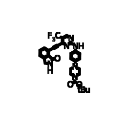 CC(C)(C)OC(=O)N1CCN(c2ccc(Nc3ncc(C(F)(F)F)c(C#Cc4cccc5c4C(=O)NC5)n3)cc2)CC1